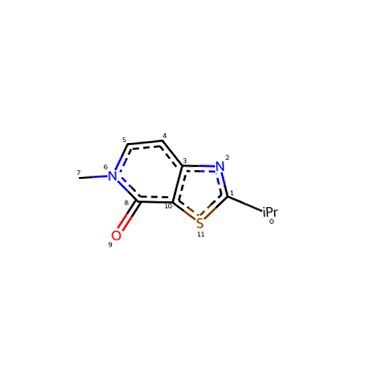 CC(C)c1nc2ccn(C)c(=O)c2s1